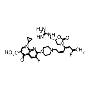 C=C(F)/C=C(\C=C/CN1CCN(c2nc3c(cc2F)c(=O)c(C(=O)O)cn3C2CC2)CC1)N1C[C@H](CNC(=N)N)OC1=O